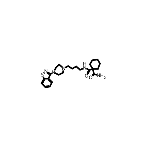 NC(=O)C1(C(=O)NCCCCN2CCN(c3nsc4ccccc34)CC2)CCCCC1